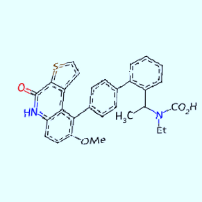 CCN(C(=O)O)C(C)c1ccccc1-c1ccc(-c2c(OC)ccc3[nH]c(=O)c4sccc4c23)cc1